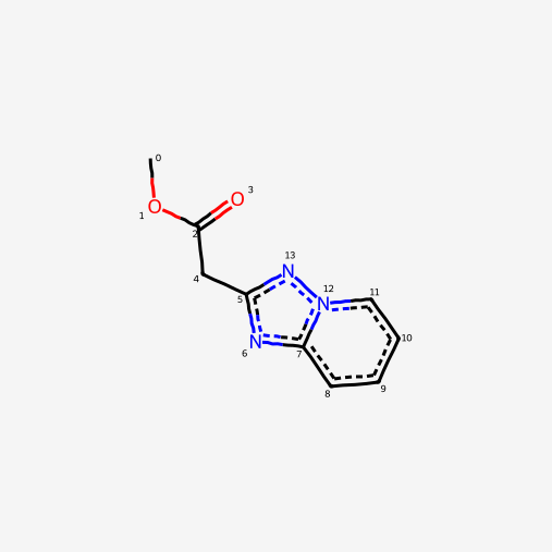 COC(=O)Cc1nc2ccccn2n1